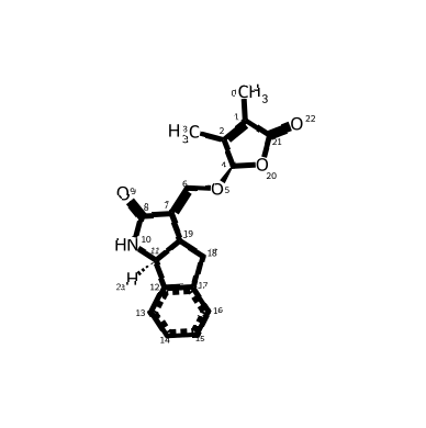 CC1=C(C)[C@H](O/C=C2/C(=O)N[C@@H]3c4ccccc4CC23)OC1=O